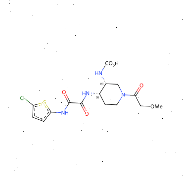 COCC(=O)N1CC[C@H](NC(=O)C(=O)Nc2ccc(Cl)s2)[C@H](NC(=O)O)C1